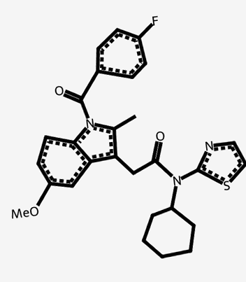 COc1ccc2c(c1)c(CC(=O)N(c1nccs1)C1CCCCC1)c(C)n2C(=O)c1ccc(F)cc1